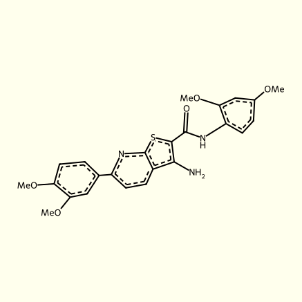 COc1ccc(NC(=O)c2sc3nc(-c4ccc(OC)c(OC)c4)ccc3c2N)c(OC)c1